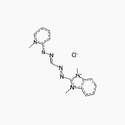 Cn1ccccc1=NN=CN=Nc1n(C)c2ccccc2[n+]1C.[Cl-]